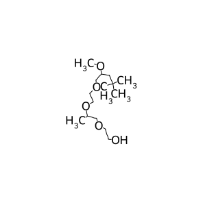 COC(COCCOC(C)COCCO)CC(C)(C)C